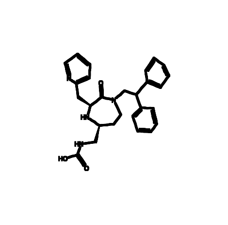 O=C(O)NC[C@@H]1CCN(CC(c2ccccc2)c2ccccc2)C(=O)[C@H](Cc2ccccn2)N1